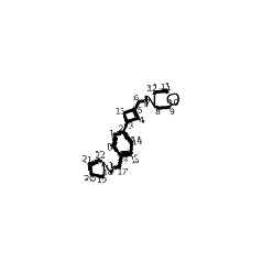 c1cc(C2CC(CN3CCOCC3)C2)ccc1CN1CCCC1